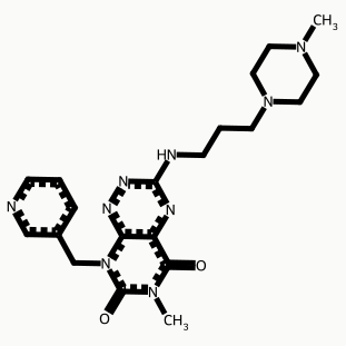 CN1CCN(CCCNc2nnc3c(n2)c(=O)n(C)c(=O)n3Cc2cccnc2)CC1